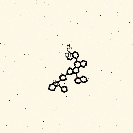 C=Cc1cccc(-c2cc3c4ccc(-c5ccc(-c6nc7ccccc7n6-c6ccccc6)cc5)cc4c(-c4cccc5ccccc45)cc3c3ccccc23)c1/C=C\C